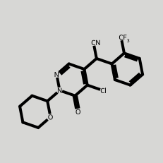 N#CC(c1ccccc1C(F)(F)F)c1cnn(C2CCCCO2)c(=O)c1Cl